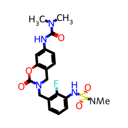 CNS(=O)(=O)Nc1cccc(CN2Cc3ccc(NC(=O)N(C)C)cc3OC2=O)c1F